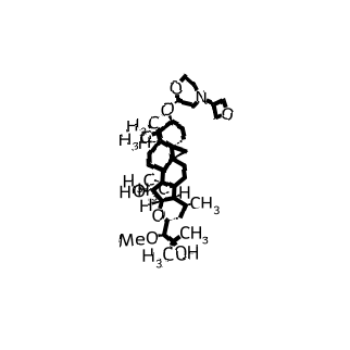 CO[C@@H]([C@H]1C[C@@H](C)[C@H]2[C@H](O1)[C@H](O)[C@@]1(C)C3CC[C@H]4C(C)(C)[C@@H](O[C@H]5CN(C6COC6)CCO5)CC[C@@]45C[C@@]35CC[C@]21C)C(C)(C)O